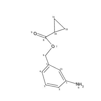 Nc1cccc(COC(=O)C2CC2)c1